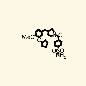 COc1ccc(CC2CCN(C(=O)c3ccc(S(N)(=O)=O)cc3)CC2)cc1OC1CCCC1